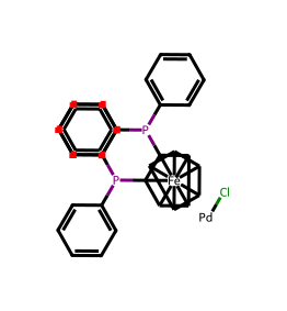 [Cl][Pd].c1ccc(P(c2ccccc2)[C]23[CH]4[CH]5[CH]6[C]2(P(c2ccccc2)c2ccccc2)[Fe]54632789[CH]3[CH]2[CH]7[CH]8[CH]39)cc1